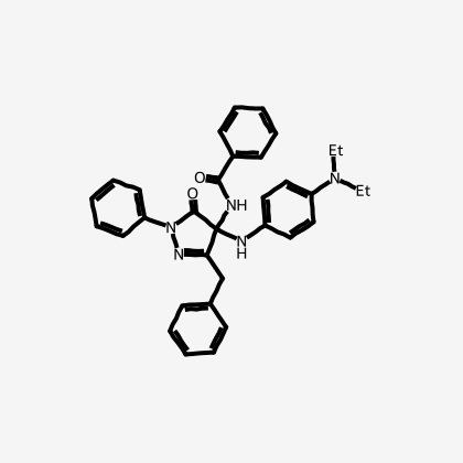 CCN(CC)c1ccc(NC2(NC(=O)c3ccccc3)C(=O)N(c3ccccc3)N=C2Cc2ccccc2)cc1